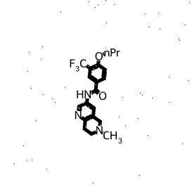 CCCOc1ccc(C(=O)Nc2cnc3c(c2)CN(C)CC3)cc1C(F)(F)F